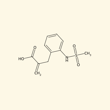 C=C(Cc1ccccc1NS(C)(=O)=O)C(=O)O